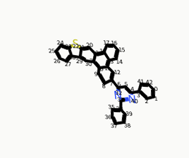 c1ccc(-c2cc(-c3ccc4c(c3)c3ccccc3c3cc5sc6ccccc6c5cc43)nc(-c3ccccc3)n2)cc1